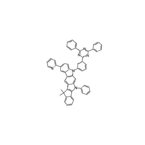 CC1(C)c2ccccc2-c2c1c1cc3c4cc(-c5ccccn5)ccc4n(-c4cccc(-c5nc(-c6ccccc6)nc(-c6ccccc6)n5)c4)c3cc1n2-c1ccccc1